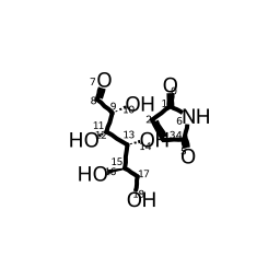 O=C1C=CC(=O)N1.O=C[C@H](O)[C@@H](O)[C@H](O)[C@H](O)CO